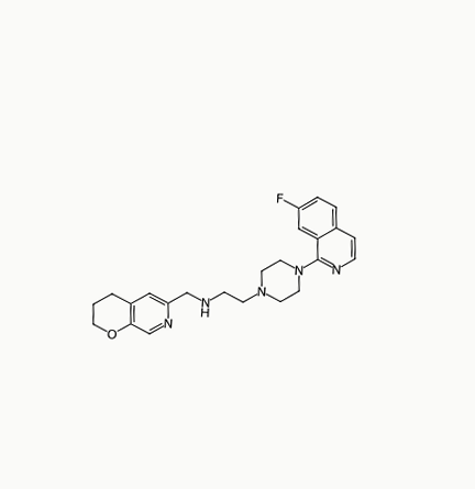 Fc1ccc2ccnc(N3CCN(CCNCc4cc5c(cn4)OCCC5)CC3)c2c1